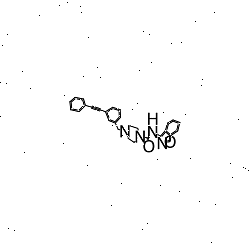 O=C(Nc1noc2ccccc12)N1CCN(Cc2cccc(C#Cc3ccccc3)c2)CC1